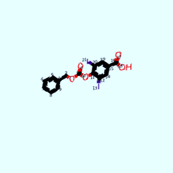 O=C(OCc1ccccc1)Oc1c(I)cc(C(=O)O)cc1I